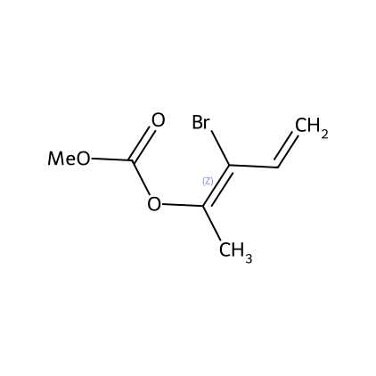 C=C/C(Br)=C(\C)OC(=O)OC